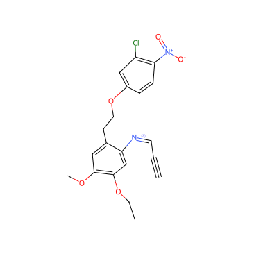 C#C/C=N\c1cc(OCC)c(OC)cc1CCOc1ccc([N+](=O)[O-])c(Cl)c1